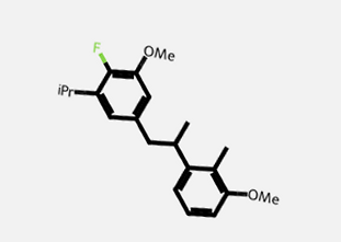 COc1cccc(C(C)Cc2cc(OC)c(F)c(C(C)C)c2)c1C